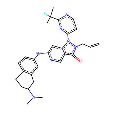 C=CCn1c(=O)c2cnc(Nc3ccc4c(c3)CC(N(C)C)CC4)cc2n1-c1ccnc(C(C)(C)F)n1